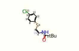 CC(C)(C)C(=O)N/[C]=C\Sc1ccc(Cl)cc1